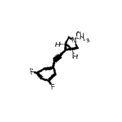 CN1C[C@@H]2C(C#Cc3cc(F)cc(F)c3)[C@@H]2C1